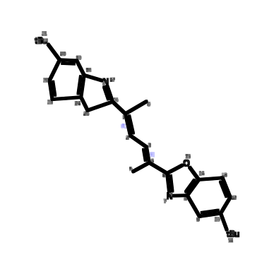 C/C(=C\C=C(/C)c1nc2cc(C(C)(C)C)ccc2o1)C1=Nc2cc(C(C)(C)C)ccc2C1